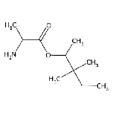 CCC(C)(C)C(C)OC(=O)C(C)N